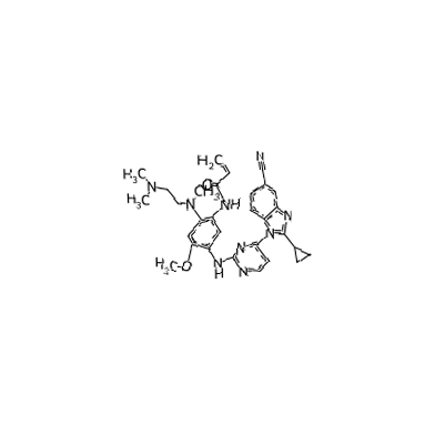 C=CC(=O)Nc1cc(Nc2nccc(-n3c(C4CC4)nc4cc(C#N)ccc43)n2)c(OC)cc1N(C)CCN(C)C